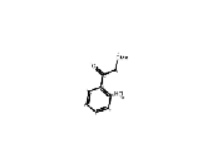 COCC(=O)c1ccccc1.Cl